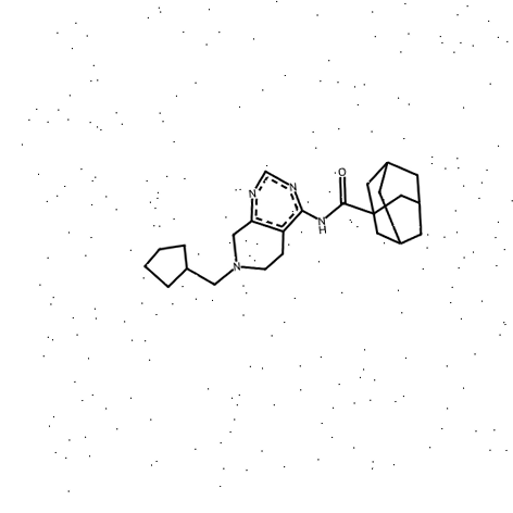 O=C(Nc1ncnc2c1CCN(CC1CCCC1)C2)C12CC3CC(CC(C3)C1)C2